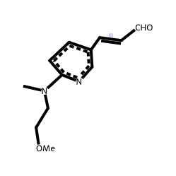 COCCN(C)c1ccc(/C=C/C=O)cn1